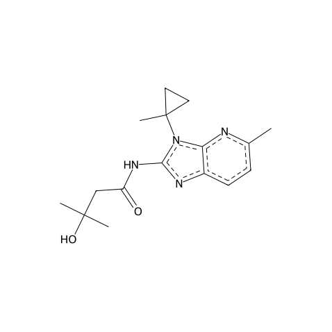 Cc1ccc2nc(NC(=O)CC(C)(C)O)n(C3(C)CC3)c2n1